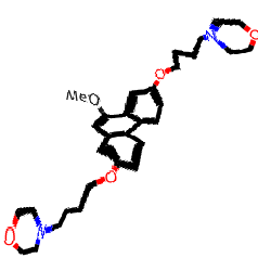 COc1cc2cc(OCCCCN3CCOCC3)ccc2c2ccc(OCCCCN3CCOCC3)cc12